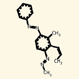 C/C=C\c1c(N=NC)ccc(N=Nc2ccccc2)c1C